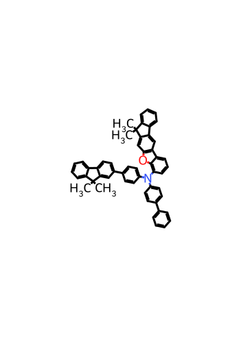 CC1(C)c2ccccc2-c2ccc(-c3ccc(N(c4ccc(-c5ccccc5)cc4)c4cccc5c4oc4cc6c(cc45)-c4ccccc4C6(C)C)cc3)cc21